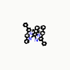 CC1(C)c2ccccc2C(C)(C)c2c(-n3c4ccc(-c5ccccc5)cc4c4ccc(-c5ccccc5)cc43)c(C#N)c(C#N)c(-n3c4ccc(-c5ccccc5)cc4c4ccc(-c5ccccc5)cc43)c21